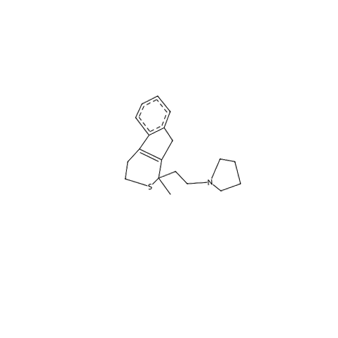 CC1(CCN2CCCC2)SCCC2=C1Cc1ccccc12